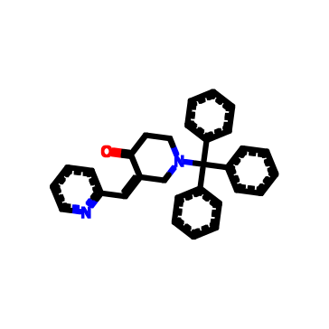 O=C1CCN(C(c2ccccc2)(c2ccccc2)c2ccccc2)C/C1=C/c1ccccn1